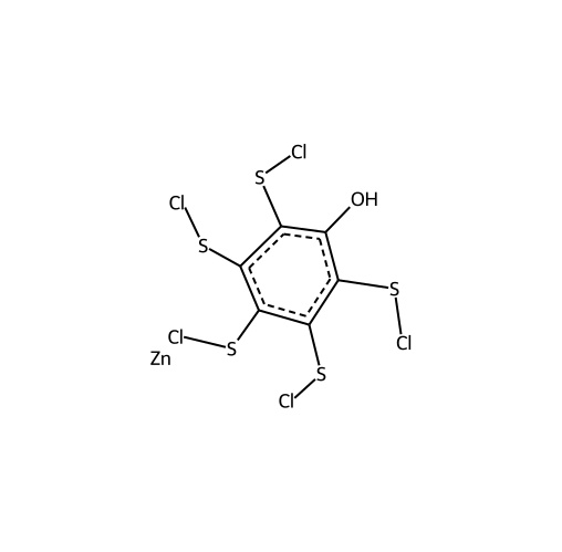 Oc1c(SCl)c(SCl)c(SCl)c(SCl)c1SCl.[Zn]